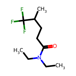 CCN(CC)C(=O)CCC(C)C(F)(F)F